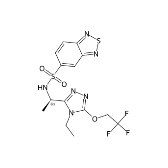 CCn1c(OCC(F)(F)F)nnc1[C@@H](C)NS(=O)(=O)c1ccc2nsnc2c1